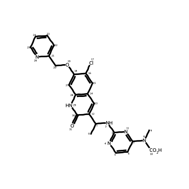 CC(Nc1nccc(N(C)C(=O)O)n1)c1cc2cc(Cl)c(OCc3ccccn3)cc2[nH]c1=O